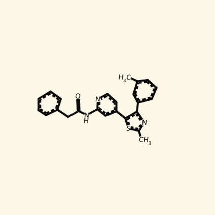 Cc1cccc(-c2nc(C)sc2-c2ccnc(NC(=O)Cc3ccccc3)c2)c1